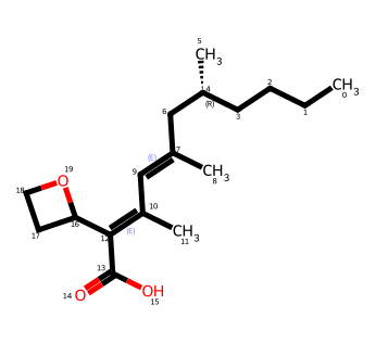 CCCC[C@@H](C)C/C(C)=C/C(C)=C(/C(=O)O)C1CCO1